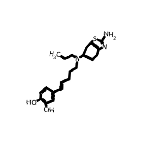 CCCN(CCCC=Cc1ccc(O)c(O)c1)C1CCc2nc(N)sc2C1